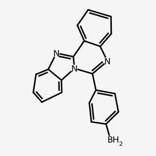 Bc1ccc(-c2nc3ccccc3c3nc4ccccc4n23)cc1